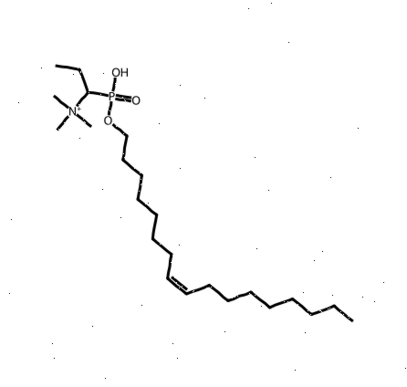 CCCCCCCC/C=C\CCCCCCCOP(=O)(O)C(CC)[N+](C)(C)C